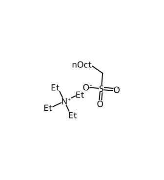 CCCCCCCCCS(=O)(=O)[O-].CC[N+](CC)(CC)CC